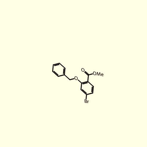 COC(=O)c1ccc(Br)cc1OCc1ccccc1